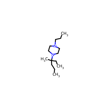 CCCN1CCN(C(C)(CC)CCC)CC1